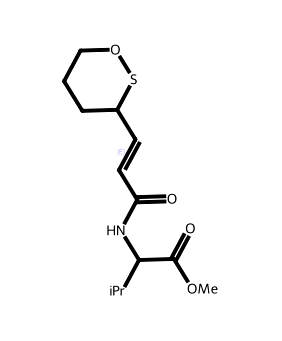 COC(=O)C(NC(=O)/C=C/C1CCCOS1)C(C)C